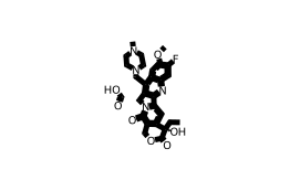 CC[C@@]1(O)C(=O)OCc2c1cc1n(c2=O)Cc2c-1nc1cc(F)c(OC)cc1c2CN1CCN(C)CC1.O=CO